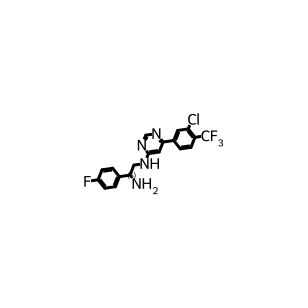 N[C@H](CNc1cc(-c2ccc(C(F)(F)F)c(Cl)c2)ncn1)c1ccc(F)cc1